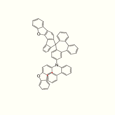 c1ccc(-c2ccccc2N(c2ccc3c(c2)-c2ccccc2-c2ccccc2C32c3ccccc3-c3c2ccc2c3oc3ccccc32)c2ccc3oc4ccccc4c3c2)cc1